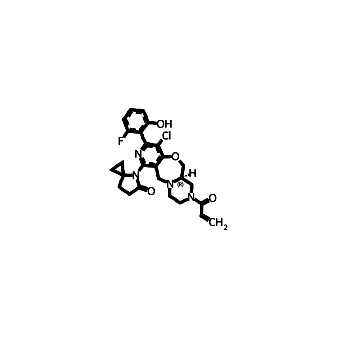 C=CC(=O)N1CCN2Cc3c(N4C(=O)CCC45CC5)nc(-c4c(O)cccc4F)c(Cl)c3OC[C@H]2C1